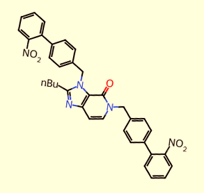 CCCCc1nc2ccn(Cc3ccc(-c4ccccc4[N+](=O)[O-])cc3)c(=O)c2n1Cc1ccc(-c2ccccc2[N+](=O)[O-])cc1